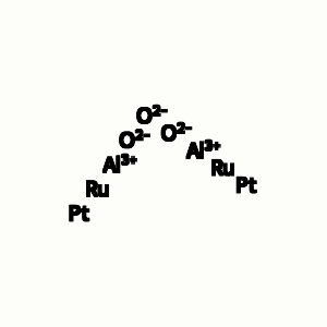 [Al+3].[Al+3].[O-2].[O-2].[O-2].[Pt].[Pt].[Ru].[Ru]